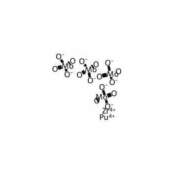 [O]=[Mo](=[O])([O-])[O-].[O]=[Mo](=[O])([O-])[O-].[O]=[Mo](=[O])([O-])[O-].[O]=[Mo](=[O])([O-])[O-].[Pu+4].[Zr+4]